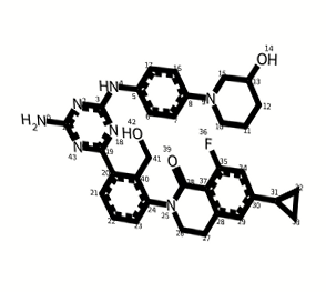 Nc1nc(Nc2ccc(N3CCCC(O)C3)cc2)nc(-c2cccc(N3CCc4cc(C5CC5)cc(F)c4C3=O)c2CO)n1